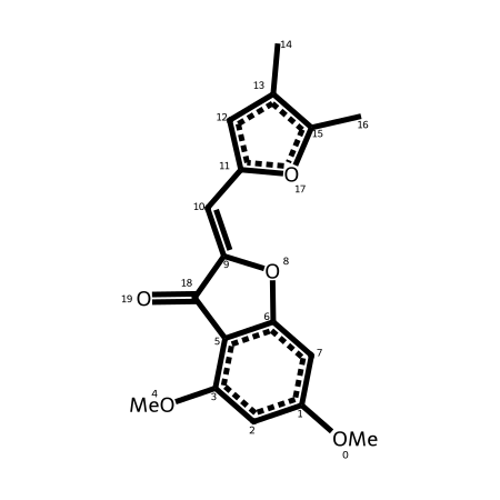 COc1cc(OC)c2c(c1)O/C(=C\c1cc(C)c(C)o1)C2=O